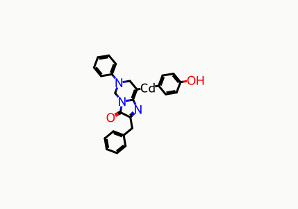 O=C1C(Cc2ccccc2)=NC2=[C]([Cd][c]3ccc(O)cc3)CN(c3ccccc3)CN12